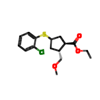 CCOC(=O)[C@@H]1CC(Sc2ccccc2Cl)C[C@H]1COC